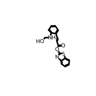 O=C(/C=C/c1ccccc1NCO)Oc1nc2ccccc2s1